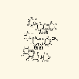 Cc1ccccc1C(=O)c1ccc(N2CCOCC2)cc1O.O=C(c1ccc(C(F)(F)F)cc1)c1ccc(N2CCOCC2)cc1O.O=C(c1ccccc1)c1ccc(N2CCOCC2)cc1O